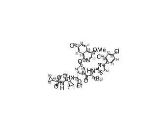 CC[C@@H]1C[C@]1(NC(=O)[C@@H]1C[C@@H](Oc2ncc(OC)c3ccc(Cl)cc23)CN1C(=O)[C@@H](Nc1nc(-c2ccc(Cl)cc2Cl)cs1)C(C)(C)C)C(=O)NS(=O)(=O)C1CC1